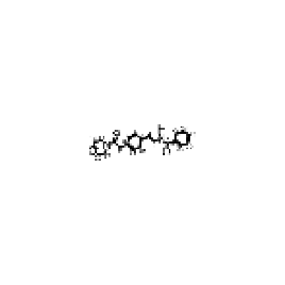 O=C(NCCc1ccc(CC(=S)N2CCOCC2)cc1)c1ccccc1